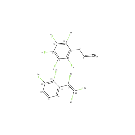 C=CCc1c(F)c(F)c(F)c(F)c1F.FC(F)=C(F)c1cccc(F)c1F